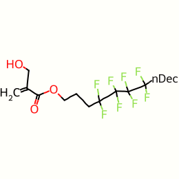 C=C(CO)C(=O)OCCCC(F)(F)C(F)(F)C(F)(F)C(F)(F)CCCCCCCCCC